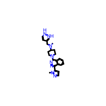 CN(CC1=CNNC=C1)C1CCN(c2nnc(-c3ccnn3C)c3ccccc23)CC1